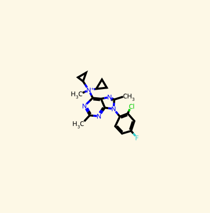 Cc1nc([N+](C)(C2CC2)C2CC2)c2nc(C)n(-c3ccc(F)cc3Cl)c2n1